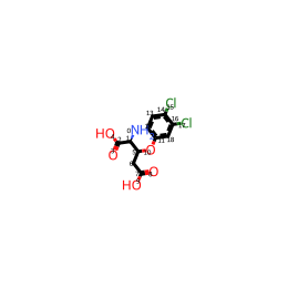 N[C@H](C(=O)O)C(CC(=O)O)Oc1ccc(Cl)c(Cl)c1